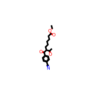 CCOC(=O)CCCCCC(C(C)=O)C(=O)c1ccc(C#N)cc1